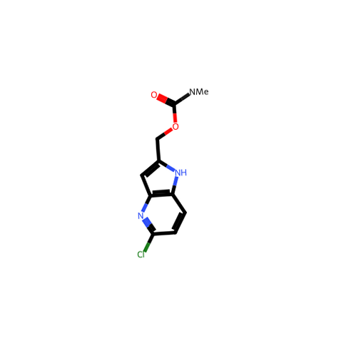 CNC(=O)OCc1cc2nc(Cl)ccc2[nH]1